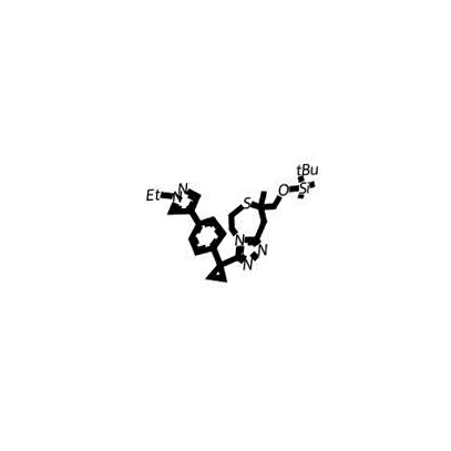 CCn1cc(-c2ccc(C3(c4nnc5n4CCSC(C)(CO[Si](C)(C)C(C)(C)C)C5)CC3)cc2)cn1